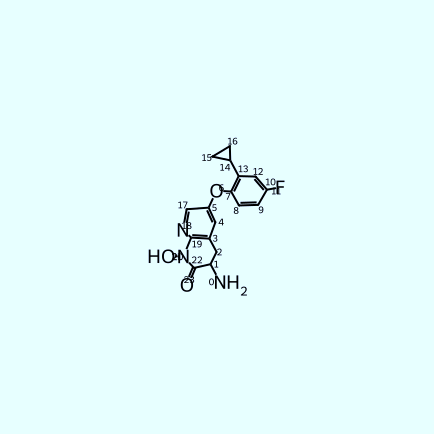 NC1Cc2cc(Oc3ccc(F)cc3C3CC3)cnc2N(O)C1=O